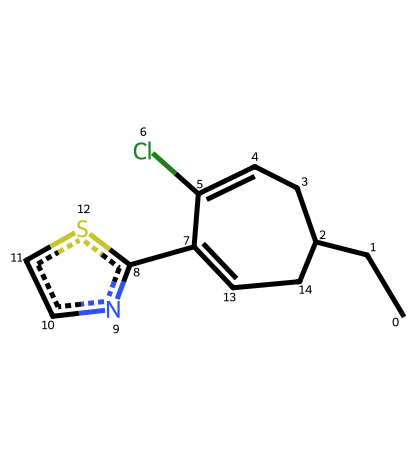 CCC1CC=C(Cl)C(c2nccs2)=CC1